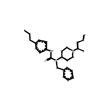 CCCc1ccc(NC(=O)N(Cc2ccccc2)C2CCN(C(C)CCC)CC2)cc1